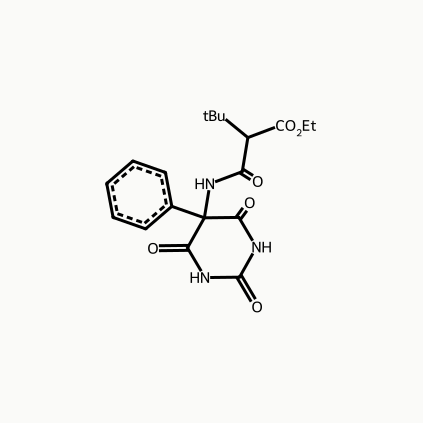 CCOC(=O)C(C(=O)NC1(c2ccccc2)C(=O)NC(=O)NC1=O)C(C)(C)C